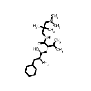 CC(C)[C@H](C[C@H](O)[C@@H](N)CC1CCCCC1)C(=O)NCC(C)(C)CN(C)C